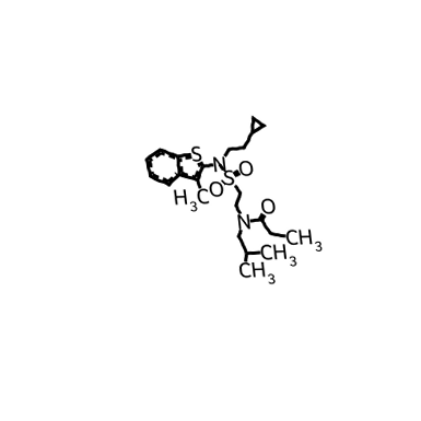 CCC(=O)N(CCS(=O)(=O)N(CCC1CC1)c1sc2ccccc2c1C)CC(C)C